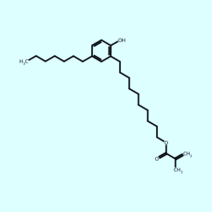 C=C(C)C(=O)OCCCCCCCCCCc1cc(CCCCCCC)ccc1O